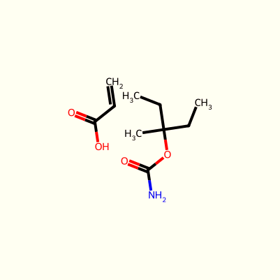 C=CC(=O)O.CCC(C)(CC)OC(N)=O